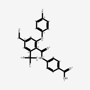 O=C(O)c1ccc(NC(=O)c2c(Oc3ccc(F)cc3)cc(CF)cc2C(F)(F)F)cc1